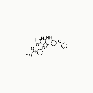 CC1CC1C(=O)N1CCC[C@@H](n2cc(-c3ccc(Oc4ccccc4)cc3)c3c(N)n[nH]c(=O)c32)C1